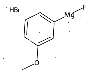 Br.COc1ccc[c]([Mg][F])c1